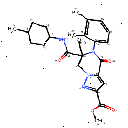 COC(=O)c1cc2n(n1)CC(C)(C(=O)NC1CCC(C)CC1)N(c1cccc(C)c1C)C2=O